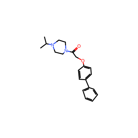 CC(C)N1CCN(C(=O)COc2ccc(-c3ccccc3)cc2)CC1